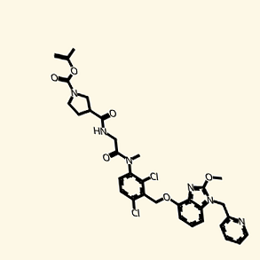 C=C(C)OC(=O)N1CCC(C(=O)NCC(=O)N(C)c2ccc(Cl)c(COc3cccc4c3nc(OC)n4Cc3ccccn3)c2Cl)C1